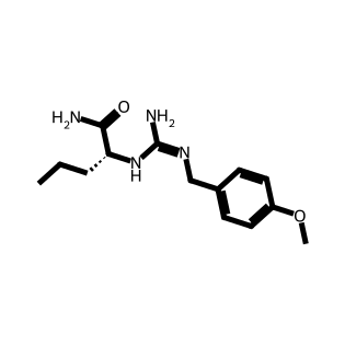 CCC[C@@H](NC(N)=NCc1ccc(OC)cc1)C(N)=O